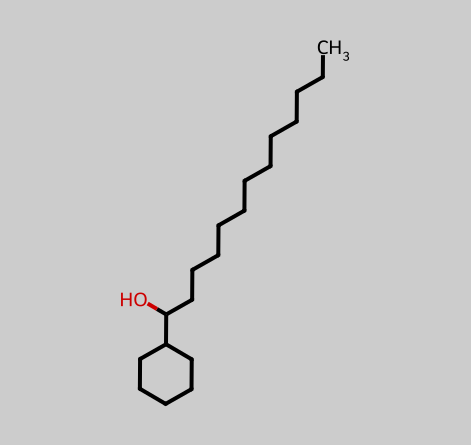 CCCCCCCCCCCCC(O)C1CCCCC1